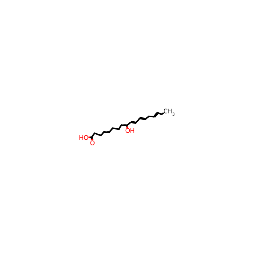 CCC=CCC=CC=CC(O)CCCCCCCC(=O)O